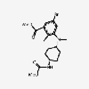 COC(=O)N[C@H]1CC[C@H](N(C)c2cc(Br)cc(C(=O)OC)c2C)CC1